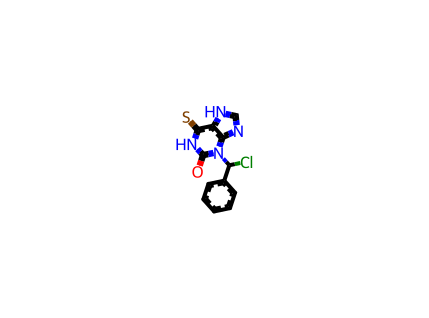 O=c1[nH]c(=S)c2[nH]cnc2n1C(Cl)c1ccccc1